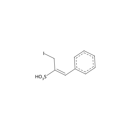 O=S(=O)(O)C(=Cc1ccccc1)CI